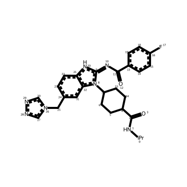 CC(C)NC(=O)C1CCC(n2/c(=N\C(=O)c3ccc(F)cc3)[nH]c3ccc(Cn4cnnc4)cc32)CC1